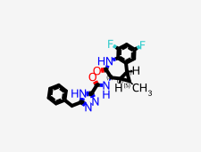 C[C@H]1[C@H]2c3cc(F)cc(F)c3NC(=O)[C@@H](NC(=O)c3nnc(Cc4ccccc4)[nH]3)[C@@H]12